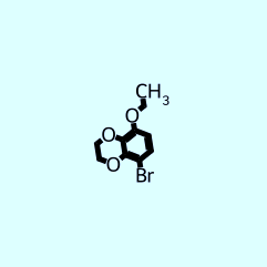 CCOc1ccc(Br)c2c1OCCO2